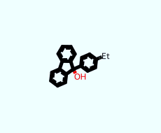 CCc1ccc(C2(O)c3ccccc3-c3ccccc32)cc1